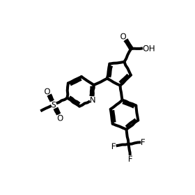 CS(=O)(=O)c1ccc(C2=CC(C(=O)O)C=C2c2ccc(C(F)(F)F)cc2)nc1